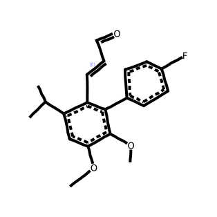 COc1cc(C(C)C)c(/C=C/C=O)c(-c2ccc(F)cc2)c1OC